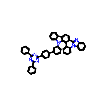 c1ccc(-c2nc(-c3ccccc3)nc(-c3ccc(-c4cccc(-n5c6ccccc6c6ccc7c(c8ccccc8n8c9ccccc9nc78)c65)c4)cc3)n2)cc1